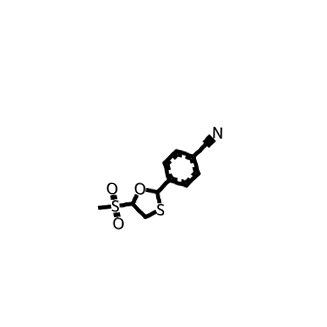 CS(=O)(=O)C1CSC(c2ccc(C#N)cc2)O1